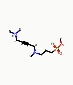 COS(=O)(=O)CCCN(C)CC#CCN(C)C